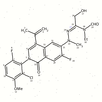 C=C(C)c1cn(-c2c(F)ccc(OC)c2Cl)c(=O)c2cc(F)c(N(C)/N=C(/CO)N(C=O)CC)cc12